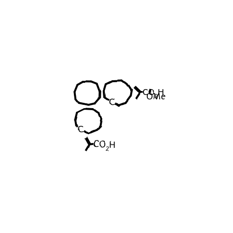 C1CCCCCCCCCC1.C1CCCCCCCCCC1.C1CCCCCCCCCC1.C=C(C)C(=O)O.C=C(C)C(=O)O.COC